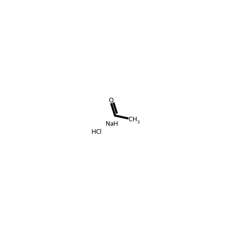 CC=O.Cl.[NaH]